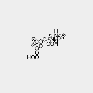 O=C(O)COc1ccc2c(c1)Oc1cc(OCC3=C(C(=O)O)N4C(=O)C(NC(=O)Cc5cccs5)C4SC3)ccc1C21OC(=O)c2ccccc21